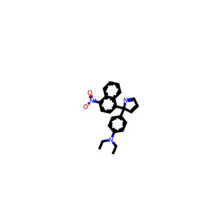 CCN(CC)c1ccc(C2(c3ccc([N+](=O)[O-])c4ccccc34)C=CC=N2)cc1